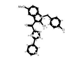 COc1ccc2c(c1)c(C(=O)c1nnc(-c3cccnc3)o1)c(C(F)(F)F)n2Cc1ccc(Cl)cc1